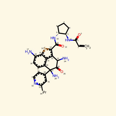 C=CC(=O)N[C@@H]1CCC[C@H]1NC(=O)c1sc2c(N)ccc3c2c1C(N)C(=O)C3(N)c1ccnc(C(C)C)c1